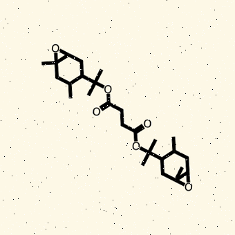 CC1CC2(C)OC2CC1C(C)(C)OC(=O)CCC(=O)OC(C)(C)C1CC2(C)OC2CC1C